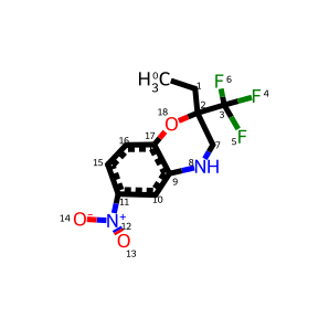 CCC1(C(F)(F)F)CNc2cc([N+](=O)[O-])ccc2O1